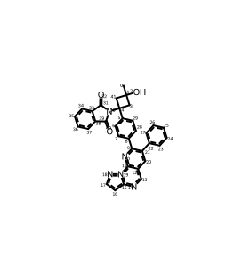 CC1(O)CC(c2ccc(-c3nc4c(cnc5ccnn54)cc3-c3ccccc3)cc2)(N2C(=O)c3ccccc3C2=O)C1